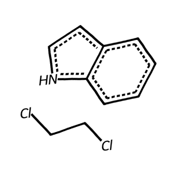 ClCCCl.c1ccc2[nH]ccc2c1